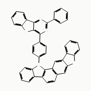 c1ccc(-c2nc(-c3ccc(-n4c5ccccc5c5ccc6cc7oc8ccccc8c7cc6c54)cc3)c3oc4ccccc4c3n2)cc1